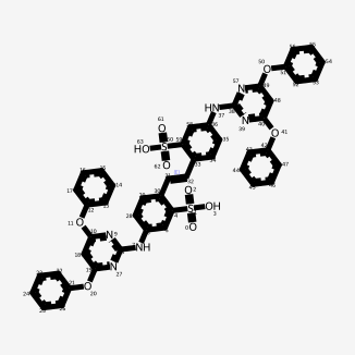 O=S(=O)(O)c1cc(Nc2nc(Oc3ccccc3)cc(Oc3ccccc3)n2)ccc1/C=C/c1ccc(Nc2nc(Oc3ccccc3)cc(Oc3ccccc3)n2)cc1S(=O)(=O)O